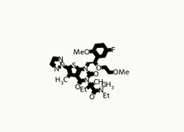 CCN(C)C(=O)C(C)(CC)n1c(=O)c2c(C)c(-n3nccn3)sc2n(C[C@H](OCCOC)c2cc(F)ccc2OC)c1=O